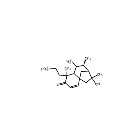 CC1C2C3(C=CC(=O)[C@@]2(C)CCC(=O)O)CC([C@@H]1C)C(C)(O)C3